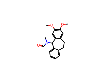 COc1cc2c(cc1OC)C(N(C)C=O)c1ccccc1CC2